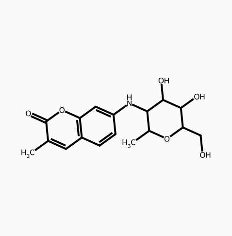 Cc1cc2ccc(NC3C(C)OC(CO)C(O)C3O)cc2oc1=O